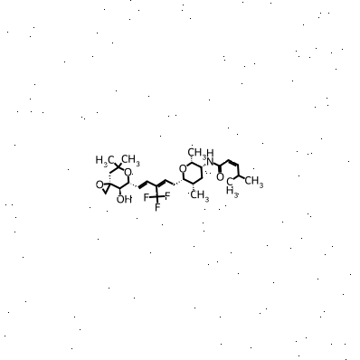 CC(C)/C=C\C(=O)N[C@@H]1C[C@H](C)[C@H](C/C=C(/C=C/[C@H]2OC(C)(C)C[C@@]3(CO3)[C@@H]2O)C(F)(F)F)O[C@@H]1C